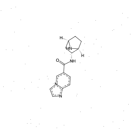 O=C(N[C@@H]1C[C@H]2CC[C@@H]1N2)c1ccc2nccn2c1